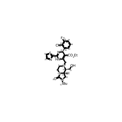 CCOC(=O)C1=C(CN2CCN3C(=O)N(C(C)(C)C)C[C@H]3[C@@H]2CO)NC(c2nccs2)=N[C@H]1c1cccc(F)c1Cl